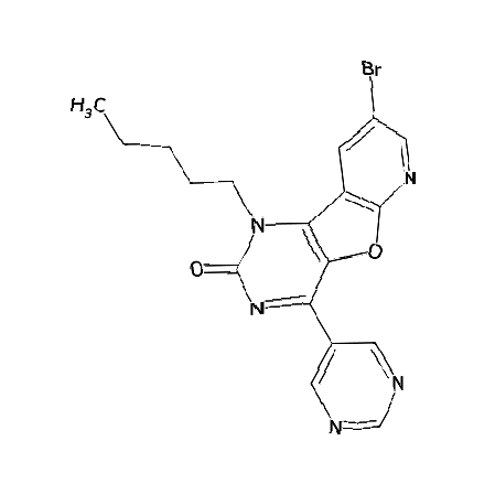 CCCCCn1c(=O)nc(-c2cncnc2)c2oc3ncc(Br)cc3c21